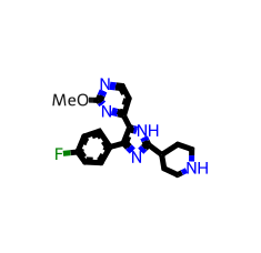 COc1nccc(-c2[nH]c(C3CCNCC3)nc2-c2ccc(F)cc2)n1